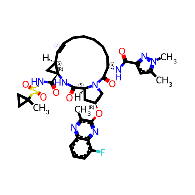 Cc1nc2cccc(F)c2nc1O[C@@H]1C[C@H]2C(=O)N[C@]3(C(=O)NS(=O)(=O)C4(C)CC4)C[C@H]3/C=C\CCCCC[C@H](NC(=O)c3cc(C)n(C)n3)C(=O)N2C1